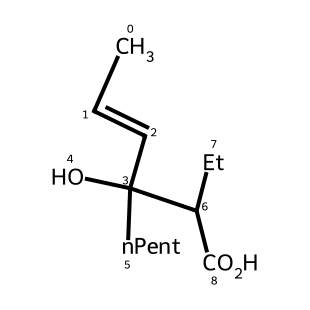 CC=CC(O)(CCCCC)C(CC)C(=O)O